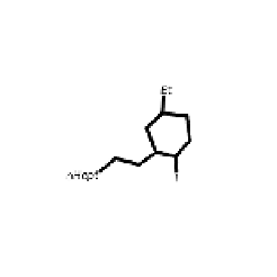 CCCCCCCCCC1CC(CC)CCC1I